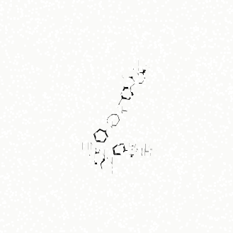 Cc1cnc(Nc2ccc(N3CCC(N(C)Cc4ccc(C5CCC(=O)NC5=O)c(F)c4)CC3)cc2)nc1Nc1cccc(S(=O)(=O)NC(C)(C)C)c1